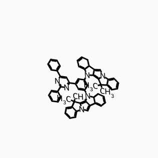 CC1(C)c2ccccc2-n2cc3c(c21)N(c1cc(-c2cc(-c4ccccc4)nc(-c4ccccc4)n2)cc(N2c4c(cn5c4C(C)(C)c4ccccc4-5)C4=CC=CCC42)c1)C1=CC=CCC13